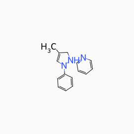 CC1=CN(c2ccccc2)NC1.c1ccncc1